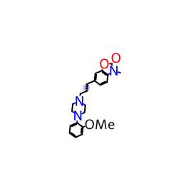 COc1ccccc1N1CCN(C/C=C/c2ccc3c(c2)oc(=O)n3C)CC1